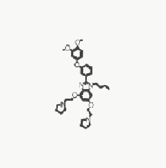 CCCCn1c(-c2cccc(Oc3ccc(OC)c(OC)c3)c2)nc2c(OCCN3CCCC3)cc(OCCN3CCCC3)cc21